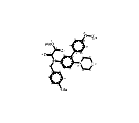 COC(=O)C(=O)N(Cc1ccc(C(C)(C)C)cc1)c1ccc(N2CCOCC2)c(-c2ccc(OC(F)(F)F)cc2)c1